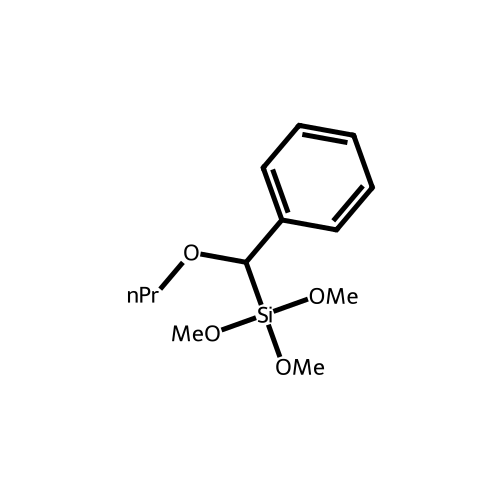 CCCOC(c1ccccc1)[Si](OC)(OC)OC